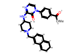 COC(=O)c1ccc(-n2ccnc(NC3CCN(Cc4ccc5c(c4)=CCCC=5)CC3)c2=O)cc1